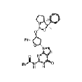 CC[C@H]1O[C@@H](n2cnc3c(=O)[nH]c(NC(=O)C(C)C)nc32)CC1O[P@@]1O[C@](C)(c2ccccc2)[C@@H]2CCCN21